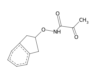 CC(=O)C(=O)NOC1Cc2ccccc2C1